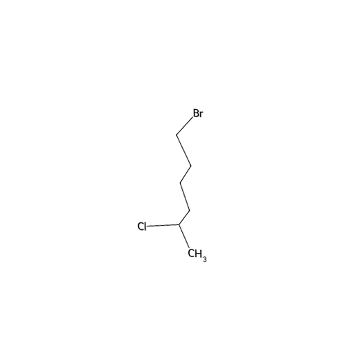 CC(Cl)CCCCBr